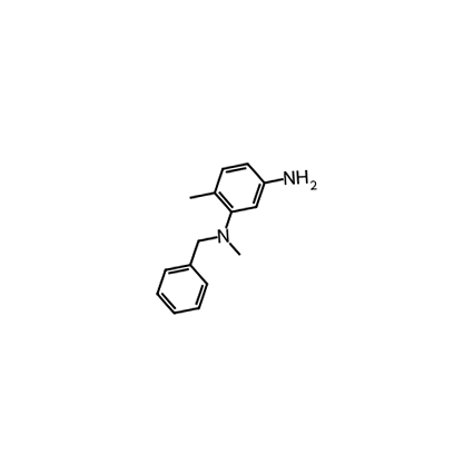 Cc1ccc(N)cc1N(C)Cc1ccccc1